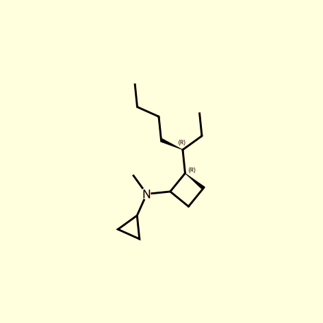 CCCC[C@@H](CC)[C@H]1CCC1N(C)C1CC1